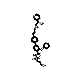 O=C(NS(=O)(=O)CCCO)c1ccc(-c2ccc(CCCNC[C@H](O)c3cccnc3)cc2)cc1OC1CCCCC1